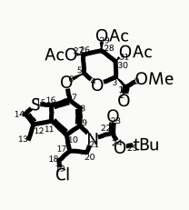 COC(=O)[C@H]1O[C@@H](Oc2cc3c(c4c(C)csc24)C(CCl)CN3C(=O)OC(C)(C)C)[C@H](OC(C)=O)[C@@H](OC(C)=O)[C@@H]1OC(C)=O